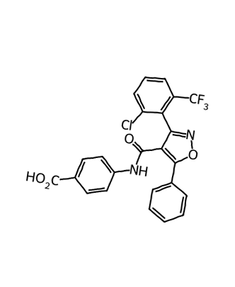 O=C(O)c1ccc(NC(=O)c2c(-c3c(Cl)cccc3C(F)(F)F)noc2-c2ccccc2)cc1